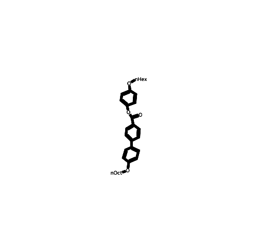 CCCCCCCCOc1ccc(-c2ccc(C(=O)Oc3ccc(OCCCCCC)cc3)cc2)cc1